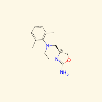 CCN(C[C@H]1COC(N)=N1)c1c(C)cccc1C